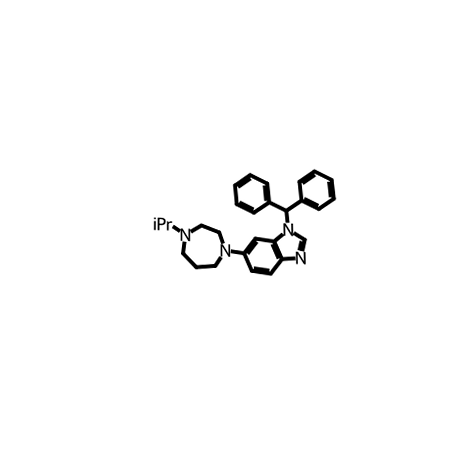 CC(C)N1CCCN(c2ccc3ncn(C(c4ccccc4)c4ccccc4)c3c2)CC1